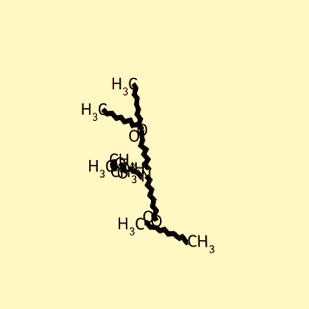 CCCCCCCCC(CCC)OC(=O)CCCCCCCN(CCCCCCCC(=O)OC(CCCCCCCC)CCCCCCCC)CCCNC(=O)OC(C)(C)C